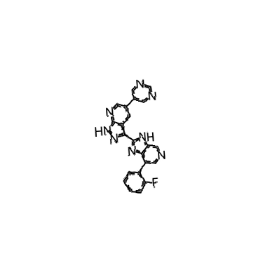 Fc1ccccc1-c1cncc2[nH]c(-c3n[nH]c4ncc(-c5cncnc5)cc34)nc12